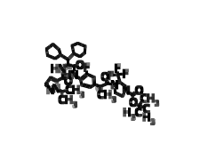 CC(C)n1nccc1C(=O)N[C@H](C(=O)Nc1ccc([C@H](C)C(=O)N2CCN(C(=O)OC(C)(C)C)CC2C(F)(F)F)cc1F)C(C1CCCCC1)C1CCCCC1